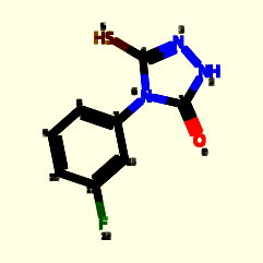 O=c1[nH]nc(S)n1-c1cccc(F)c1